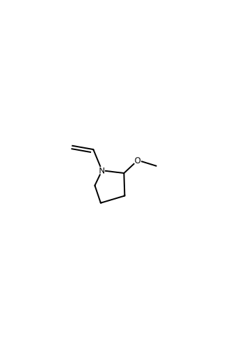 C=CN1CCCC1OC